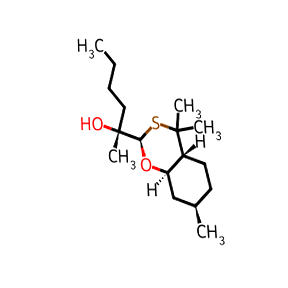 CCCC[C@@](C)(O)[C@@H]1O[C@@H]2C[C@H](C)CC[C@H]2C(C)(C)S1